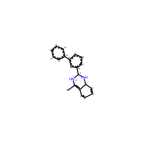 CC1=C2C=CC=CC2NC(c2cccc(-c3ccccc3)c2)N1